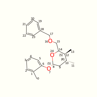 Cc1ccccc1O[C@H]1C[C@@H](C)[C@H](C)C(COCc2ccccc2)O1